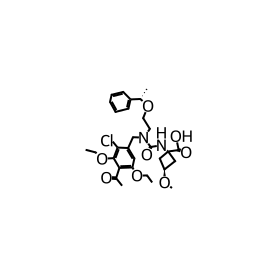 CCOc1cc(CN(CCO[C@@H](C)c2ccccc2)C(=O)N[C@]2(C(=O)O)C[C@H](OC)C2)c(Cl)c(OCC)c1C(C)=O